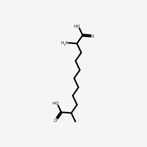 CC(CCCCCCCC(N)C(=O)O)C(=O)O